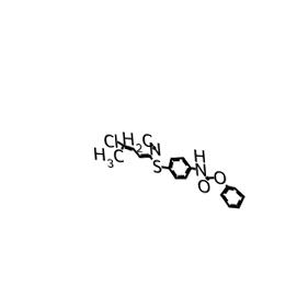 C=N/C(=C\C=C(/C)Cl)Sc1ccc(NC(=O)Oc2ccccc2)cc1